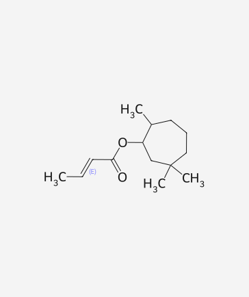 C/C=C/C(=O)OC1CC(C)(C)CCCC1C